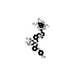 C[C@@H]1[C@@H](NC(=O)C2CCS(=O)(=O)N2Cc2cccc(CN(Cc3ccccc3Oc3ccc(C#N)cc3)[C@H](CN(C)C)CC(C)(C)C)c2)C[C@H]2C[C@@H]1C2(C)C